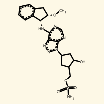 CO[C@H]1Cc2ccccc2[C@H]1Nc1ncnc2c1nnn2C1CC(O)C(COS(N)(=O)=O)C1